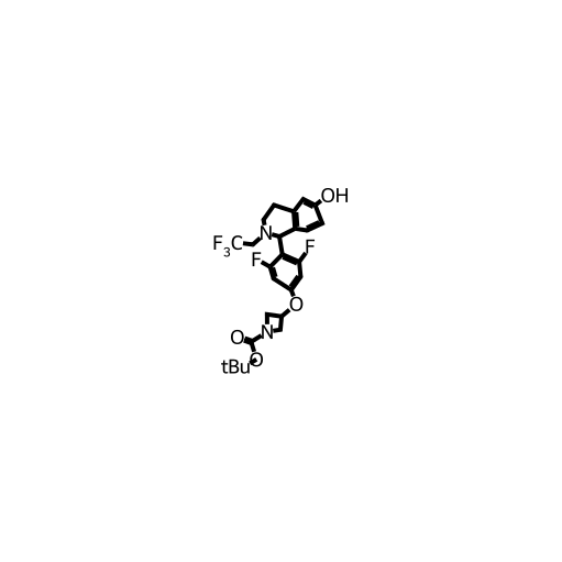 CC(C)(C)OC(=O)N1CC(Oc2cc(F)c(C3c4ccc(O)cc4CCN3CC(F)(F)F)c(F)c2)C1